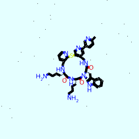 Cc1ccc(-c2cc3c(cn2)Sc2ncccc2CN[C@@H](CCCCN)C(=O)N[C@@H](CCCCN)C(=O)N(C)[C@@H](Cc2c[nH]c4ccccc24)C(=O)NC3)cn1